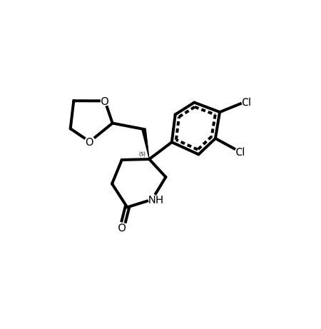 O=C1CC[C@](CC2OCCO2)(c2ccc(Cl)c(Cl)c2)CN1